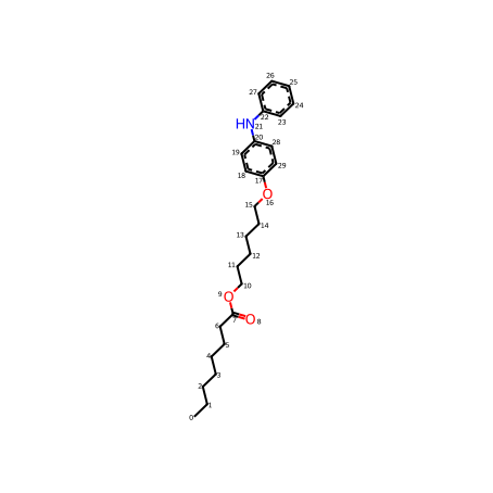 CCCCCCCC(=O)OCCCCCCOc1ccc(Nc2ccccc2)cc1